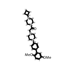 COc1ccc(OC)c(-c2ccc(N3CCN(CC(=O)N4CCN(C5CCC5)CC4)CC3)cc2)c1